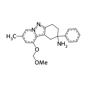 COCOc1cc(C)cn2nc3c(c12)CC(N)(c1ccccc1)CC3